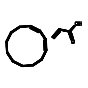 C1=CCCCCCCCCC=C1.C=CC(=O)O